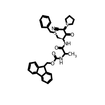 CC(NC(=O)OCC1c2ccccc2-c2ccccc21)C(=O)N[C@@H](CSCc1ccccc1)C(=O)C(C#N)=S1CCCC1